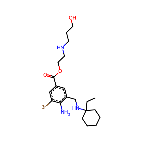 CCC1(NCc2cc(C(=O)OCCNCCCO)cc(Br)c2N)CCCCC1